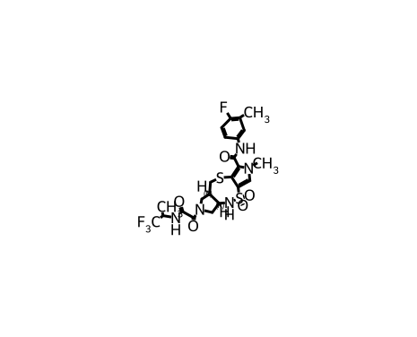 Cc1cc(NC(=O)c2c3c(cn2C)S(=O)(=O)N[C@H]2CN(C(=O)C(=O)NC(C)C(F)(F)F)C[C@H]2CS3)ccc1F